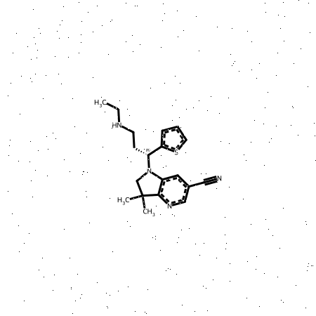 CCNCC[C@H](c1cccs1)N1CC(C)(C)c2ncc(C#N)cc21